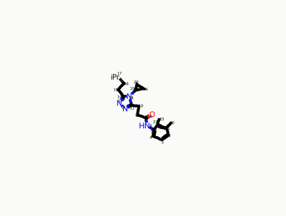 Cc1cccc(NC(=O)CCc2nnc(CCC(C)C)n2C2CC2)c1C